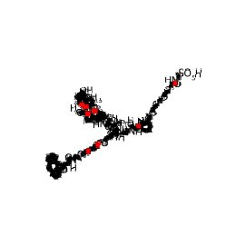 CC(C)[C@H](NC(=O)[C@@H](CCCCNC(=O)COC1CCCCC/C(NCCOCCOCCOCCOCCC(=O)NCCS(=O)(=O)O)=C\1N)NC(=O)CCOCCOCCOCCOCCNC(=O)CCC(=O)N1Cc2ccccc2C#Cc2ccccc21)C(=O)N[C@@H](C)C(=O)Nc1ccc2c(c1)[C@@]1(C)CCC[C@]3(C(=O)N3C(=O)[C@@]3(C)CCC[C@]4(C)c5cc(O)ccc5CC[C@@H]34)C1CC2